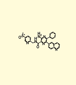 C[S+]([O-])c1ccc(CNC(=O)c2nc(-c3ccc4ncccc4c3)c(-c3ccccc3)nc2N)nc1